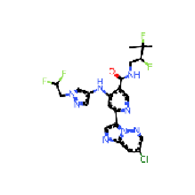 CC(C)(F)C(F)CNC(=O)c1cnc(-c2cnc3cc(Cl)cnn23)cc1Nc1cnn(CC(F)F)c1